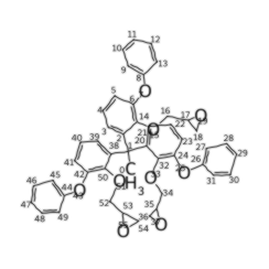 CC(c1cccc(Oc2ccccc2)c1OCC1CO1)(c1cccc(Oc2ccccc2)c1OCC1CO1)c1cccc(Oc2ccccc2)c1OCC1CO1